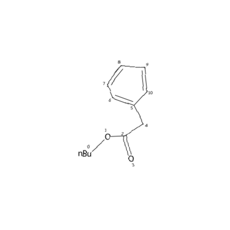 CCCCOC(=O)Cc1c[c]ccc1